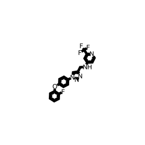 Fc1ccccc1Oc1ccc(-n2cc(CNc3ccnc(C(F)(F)F)c3)nn2)cc1